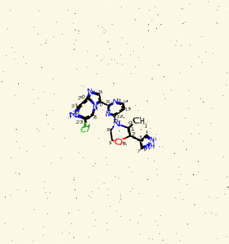 CC1C(c2cn[nH]c2)OCCN1c1ccnc(-c2cnc3cnc(Cl)cn23)n1